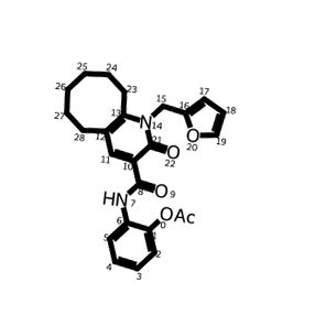 CC(=O)Oc1ccccc1NC(=O)c1cc2c(n(Cc3ccco3)c1=O)CCCCCC2